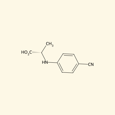 C[C@H](Nc1ccc(C#N)cc1)C(=O)O